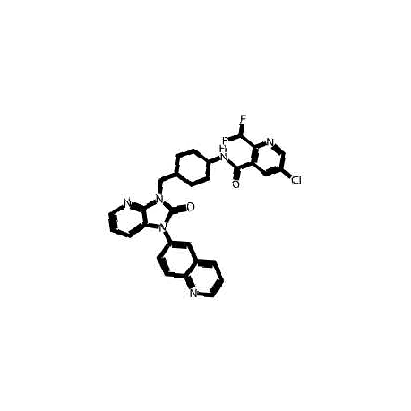 O=C(NC1CCC(Cn2c(=O)n(-c3ccc4ncccc4c3)c3cccnc32)CC1)c1cc(Cl)cnc1C(F)F